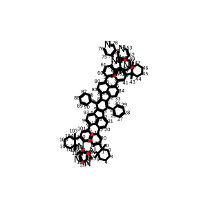 CC12CCCCC1(C)N(c1ccncc1)c1ccc(-c3ccc4c5c(-c6ccccc6)c6c7ccc(-c8ccc9c(c8)C8(C)CCCCC8(C)N9c8ccncc8)c8c(-c9ccc%10c(c9)C9(C)CCCCC9(C)N%10c9ccncc9)ccc(c6c(-c6ccccc6)c5c5ccc(-c6ccc9c(c6)C6(C)CCCCC6(C)N9c6ccncc6)c3c45)c87)cc12